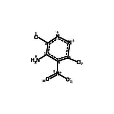 Nc1c(Cl)nnc(Cl)c1[N+](=O)[O-]